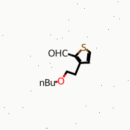 CCCCOCCc1ccsc1C=O